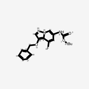 CC(C)(C)OC(=O)Nc1cc(F)c2c(OCc3ccccc3)cnn2c1